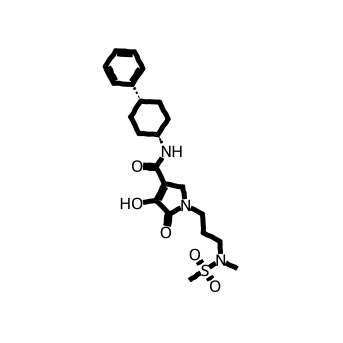 CN(CCCN1CC(C(=O)N[C@H]2CC[C@@H](c3ccccc3)CC2)=C(O)C1=O)S(C)(=O)=O